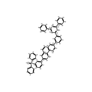 O=P(c1ccccc1)(c1ccccc1)c1cccc(-c2cnc3c(ccc4cc(-c5cccc(-c6nc(-c7ccccc7)nc(-c7ccccc7)n6)c5)cnc43)c2)c1